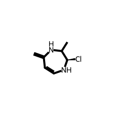 C=C1C=CN[C@H](Cl)C(C)N1